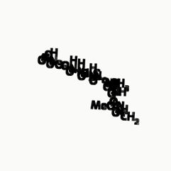 C=C1C[C@H]2C=Nc3cc(OCCCC(=O)Nc4cc(C(=O)Nc5ccc(-c6cc(C(=O)NCCCOC(=O)NCCCNC(=O)CCOCCOCCNC(=O)CCN7C(=O)C=CC7=O)n(C)c6)cc5)n(C)c4)c(OC)cc3C(=O)N2C1